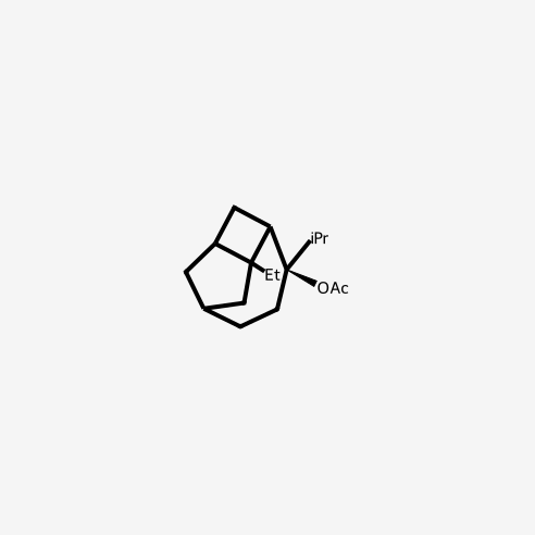 CCC12CC3CC[C@@](OC(C)=O)(C(C)C)C1CC2C3